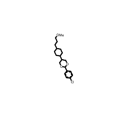 COCCCC1CCC(C2COC(c3ccc(Cl)cc3)OC2)CC1